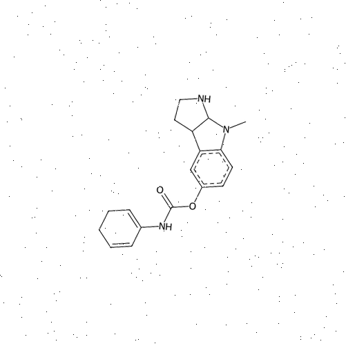 CN1c2ccc(OC(=O)NC3=CCCC=C3)cc2C2CCNC21